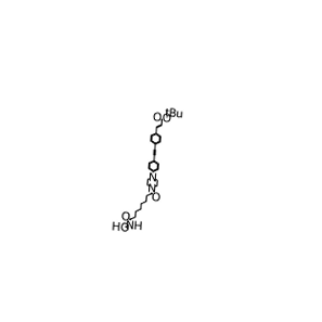 CC(C)(C)OC(=O)/C=C/c1ccc(C#Cc2ccc(N3CCN(C(=O)CCCCCCC(=O)NO)CC3)cc2)cc1